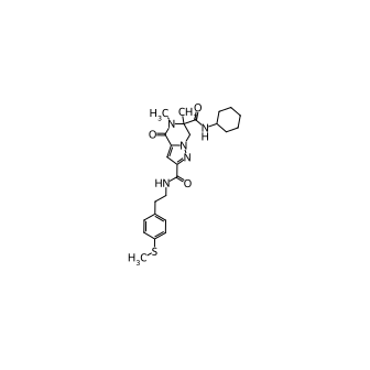 CSc1ccc(CCNC(=O)c2cc3n(n2)CC(C)(C(=O)NC2CCCCC2)N(C)C3=O)cc1